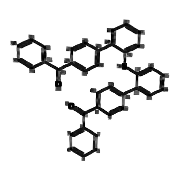 O=C(c1ccccc1)c1ccc(-c2ccccc2Sc2ccccc2-c2ccc(C(=O)c3ccccc3)cc2)cc1